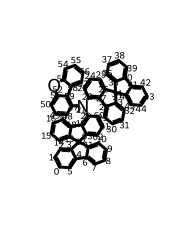 c1ccc2c(c1)-c1ccccc1C21c2ccccc2-c2c(N(c3cccc4c3-c3ccccc3C43c4ccccc4-c4ccccc43)c3cccc4oc5ccccc5c34)cccc21